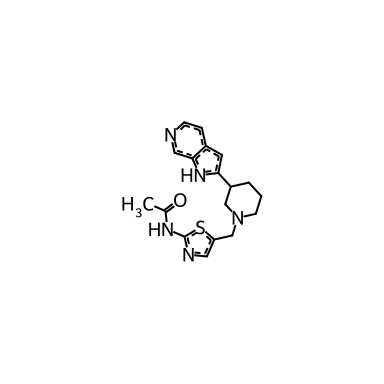 CC(=O)Nc1ncc(CN2CCCC(c3cc4ccncc4[nH]3)C2)s1